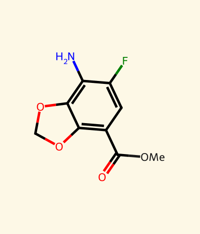 COC(=O)c1cc(F)c(N)c2c1OCO2